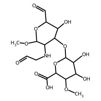 COC1OC(C=O)C(O)C(OC2OC(C(=O)O)C(OC)C(O)C2O)C1NCC=O